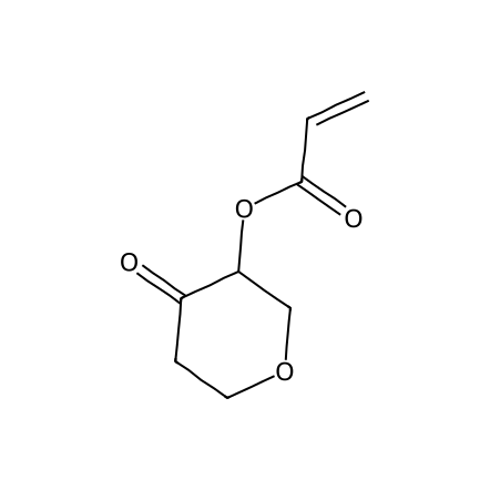 C=CC(=O)OC1COCCC1=O